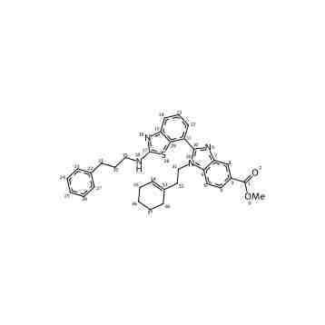 COC(=O)c1ccc2c(c1)nc(-c1cccc3nc(NCCCc4ccccc4)sc13)n2CCC1=CCCCC1